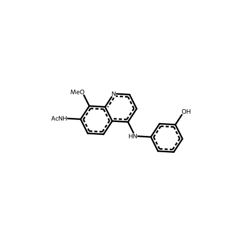 COc1c(NC(C)=O)ccc2c(Nc3cccc(O)c3)ccnc12